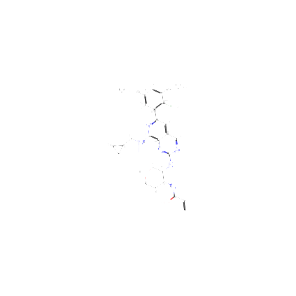 C=CC(=O)N[C@H]1CCOC[C@H]1Nc1ncc2cc(-c3c(F)c(OC)cc(OC)c3F)nc(NCC3CC3)c2n1